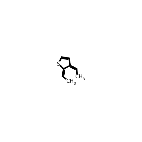 C/C=c1/ccs/c1=C/C